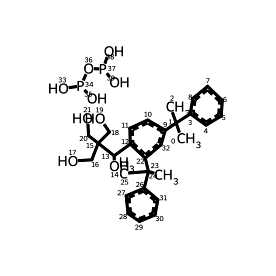 CC(C)(c1ccccc1)c1ccc(C(O)C(CO)(CO)CO)c(C(C)(C)c2ccccc2)c1.OP(O)OP(O)O